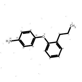 CCCc1ccccc1Oc1ccc(N)cc1